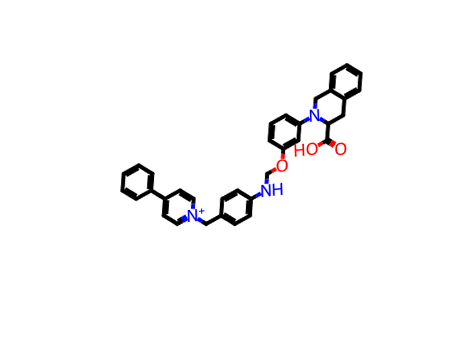 O=C(O)C1Cc2ccccc2CN1c1cccc(OCNc2ccc(C[n+]3ccc(-c4ccccc4)cc3)cc2)c1